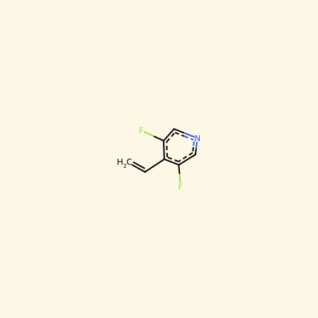 C=Cc1c(F)cncc1F